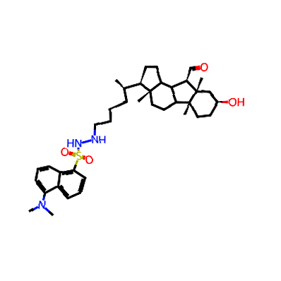 C[C@H](CCCCNNS(=O)(=O)c1cccc2c(N(C)C)cccc12)[C@H]1CCC2C3C(CC[C@@]21C)[C@@]1(C)CC[C@H](O)C[C@@]1(C)[C@@H]3C=O